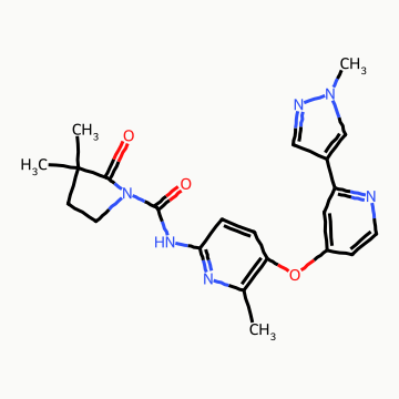 Cc1nc(NC(=O)N2CCC(C)(C)C2=O)ccc1Oc1ccnc(-c2cnn(C)c2)c1